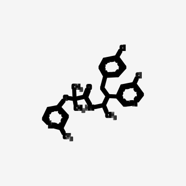 CC(NC(=O)C(C)(C)Oc1ccnc(C(F)(F)F)c1)C(Cc1ccc(Cl)cc1)c1cncc(Cl)c1